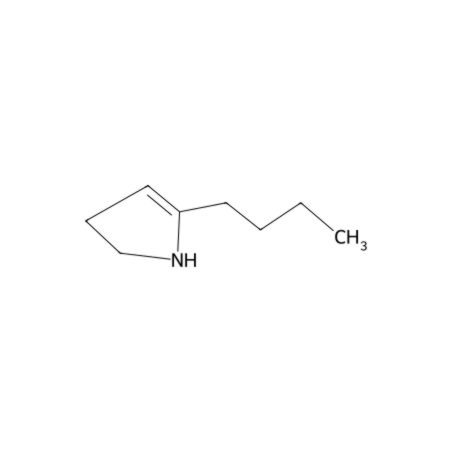 CCCCC1=CCCN1